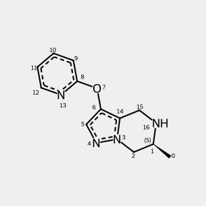 C[C@H]1Cn2ncc(Oc3ccccn3)c2CN1